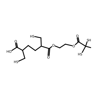 CC(S)(S)C(=O)OCCOC(=O)C(CS)CCC(CS)C(=O)O